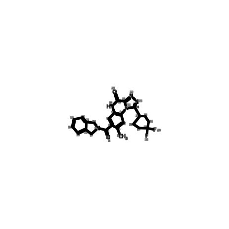 Cc1cc2c(cc1C(=O)N1Cc3ccccc3C1)[nH]c(=O)c1nnc(C3CCC(F)(F)CC3)n12